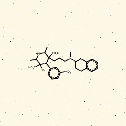 CC1NC(C)C(C(=O)O)(C(C)C)C(c2cccc([N+](=O)[O-])c2)C1(CCCN(C)C1COc2ccccc2O1)C(=O)O